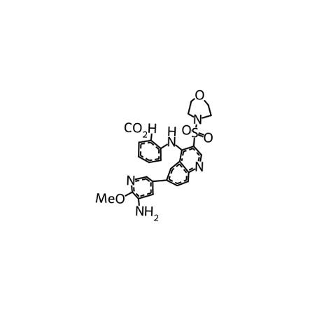 COc1ncc(-c2ccc3ncc(S(=O)(=O)N4CCOCC4)c(Nc4ccccc4C(=O)O)c3c2)cc1N